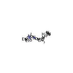 CCN(CC)C1=CC(=N\c2ccccc2)/C(=N\c2ccc(/N=N/c3ccc(N(C)CCCC(=O)NCc4ccc(-c5nncnn5)cc4)cc3)cc2I)C=C1